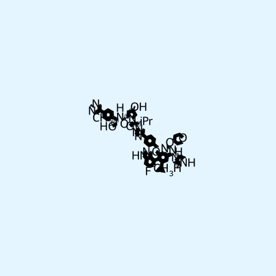 Cc1ncncc1-c1ccc([C@H](CO)NC(=O)[C@@H]2C[C@@H](O)CN2C(=O)[C@H](C(C)C)n2cc(-c3ccc(COc4c(-c5c(C)c(F)cc6[nH]ncc56)c(C5CC5)cc5c(N6C[C@@H]7C[C@H]6CN7)nc(OC6CCOCC6)nc45)cc3)nn2)cc1